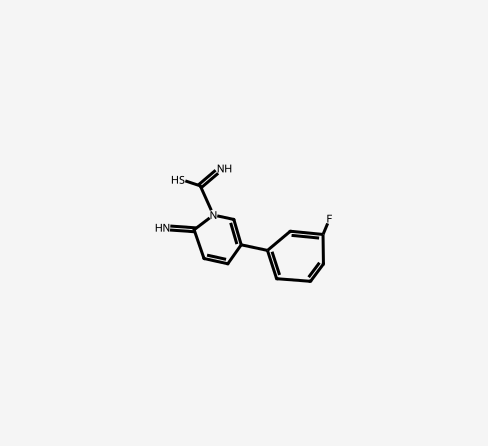 N=C(S)n1cc(-c2cccc(F)c2)ccc1=N